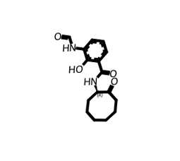 O=CNc1cccc(C(=O)N[C@@H]2CCCCCCC2=O)c1O